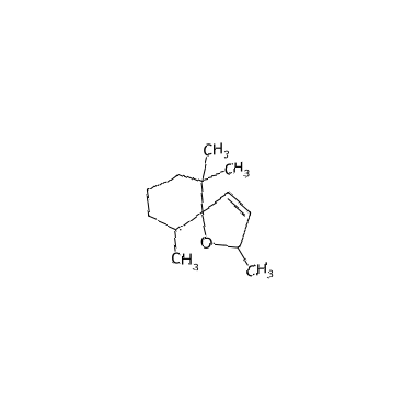 C[C]1CCCC(C)(C)C12C=CC(C)O2